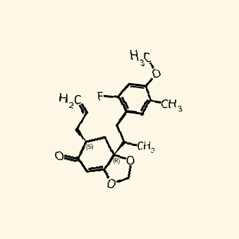 C=CC[C@H]1C[C@]2(C(C)Cc3cc(C)c(OC)cc3F)OCOC2=CC1=O